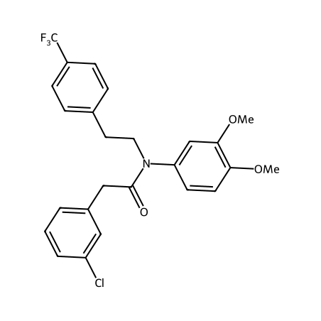 COc1ccc(N(CCc2ccc(C(F)(F)F)cc2)C(=O)Cc2cccc(Cl)c2)cc1OC